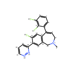 CN1CC=C(c2cccc(F)c2F)c2cc(F)c(-c3cccnn3)cc2C1